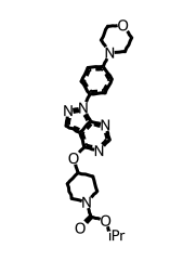 CC(C)OC(=O)N1CCC(Oc2ncnc3c2cnn3-c2ccc(N3CCOCC3)cc2)CC1